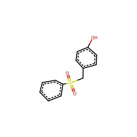 O=S(=O)(Cc1ccc(O)cc1)c1ccccc1